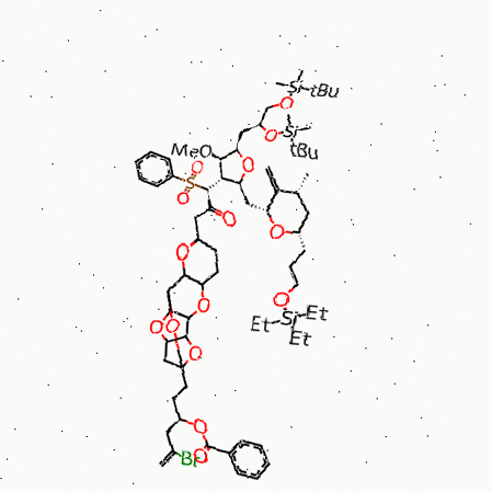 C=C(Br)C[C@@H](CCC12CC3OC4C(OC5CCC(CC(=O)[C@H]([C@@H]6[C@@H](OC)[C@@H](C[C@@H](CO[Si](C)(C)C(C)(C)C)O[Si](C)(C)C(C)(C)C)O[C@H]6C[C@H]6O[C@@H](CCCO[Si](CC)(CC)CC)C[C@@H](C)C6=C)S(=O)(=O)c6ccccc6)OC5C4O1)C3O2)OC(=O)c1ccccc1